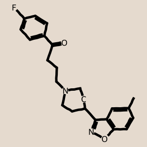 Cc1ccc2onc(C3CCN(CCCC(=O)c4ccc(F)cc4)CC3)c2c1